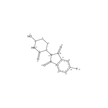 O=C1NC(O)CCC1N1C(=O)c2ccc(F)cc2C1=O